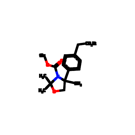 CCOC(=O)Cc1ccc(C2([SiH3])COC(C)(C)N2C(=O)OC(C)(C)C)cc1